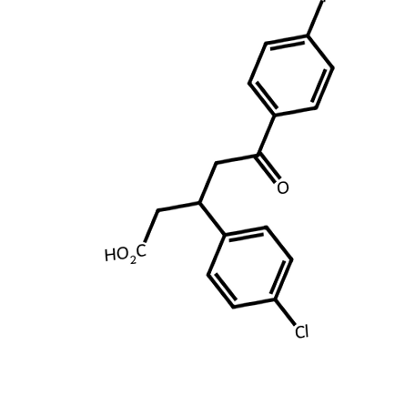 O=C(O)CC(CC(=O)c1ccc(I)cc1)c1ccc(Cl)cc1